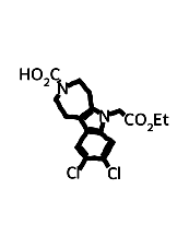 CCOC(=O)Cn1c2c(c3cc(Cl)c(Cl)cc31)CCN(C(=O)O)CC2